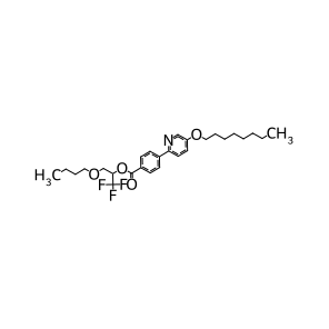 CCCCCCCCOc1ccc(-c2ccc(C(=O)OC(COCCCC)C(F)(F)F)cc2)nc1